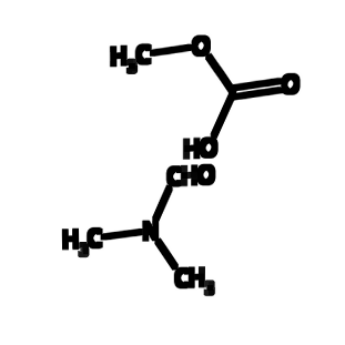 CN(C)C=O.COC(=O)O